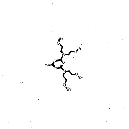 CC(C)OCCN(CCOC(C)C)c1nc(C(C)C)nc(N(CCOC(C)C)CCOC(C)C)n1